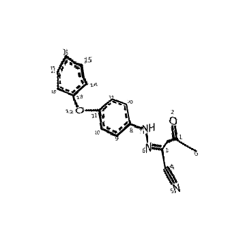 CC(=O)C(C#N)=NNc1ccc(Oc2ccccc2)cc1